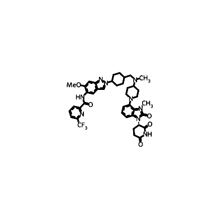 COc1cc2nn(C3CCC(CN(C)C4CCN(c5cccc6c5n(C)c(=O)n6[C@H]5CCC(=O)NC5=O)CC4)CC3)cc2cc1NC(=O)c1cccc(C(F)(F)F)n1